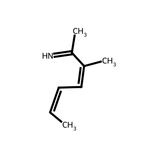 C/C=C\C=C(\C)C(C)=N